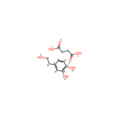 O=C(O)CCC(=O)O.OCCc1ccc(O)c(O)c1